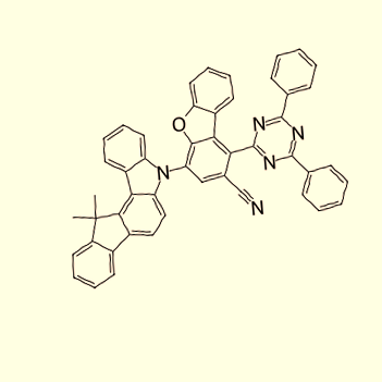 CC1(C)c2ccccc2-c2ccc3c(c21)c1ccccc1n3-c1cc(C#N)c(-c2nc(-c3ccccc3)nc(-c3ccccc3)n2)c2c1oc1ccccc12